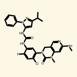 CNc1cc2c(cn1)CN(c1cc(NC(=O)Nc3cc(C(C)C)nn3-c3ccccc3)c(F)cc1Cl)C(=O)N2C